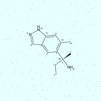 CC[C@@](C)(N)c1cc2cn[nH]c2cc1C